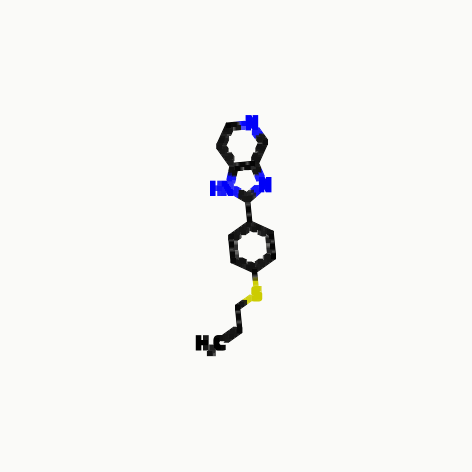 C=CCSc1ccc(-c2nc3cnccc3[nH]2)cc1